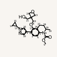 COC(=O)N1c2ccc(-c3cnn(C4CC4)c3)c(OCC3(CO)COC3)c2CCC1C